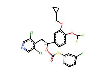 O=C(O[C@@H](Cc1c(Cl)cncc1Cl)c1ccc(OC(F)F)c(OCC2CC2)c1)Sc1cccc(Cl)c1